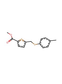 COC(=O)c1ccc(CSc2ccc(C)cc2)s1